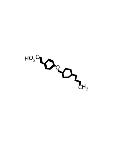 C=CCCC1CCC(COc2ccc(C=CC(=O)O)cc2)CC1